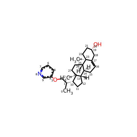 CC(COc1cccnc1)[C@H]1CC[C@H]2[C@@H]3CC=C4C[C@@H](O)CC[C@]4(C)[C@H]3CC[C@]12C